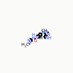 CCn1cc(NC(=O)N2CC3C[C@H](N(C)c4ncnc5[nH]ccc45)C[C@H]3C2)cn1